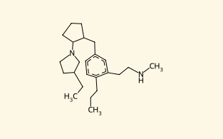 CCCc1ccc(CC2CCCC2N2CCC(CC)C2)cc1CCNC